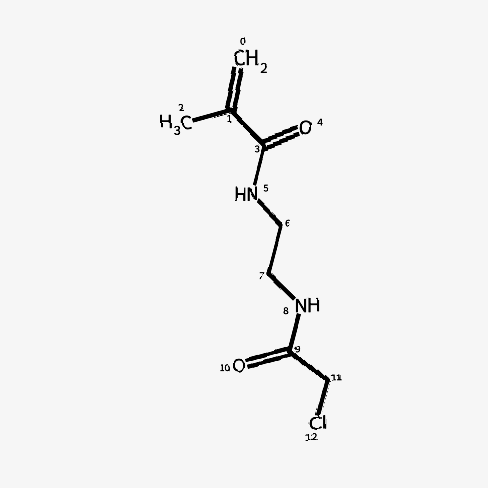 C=C(C)C(=O)NCCNC(=O)CCl